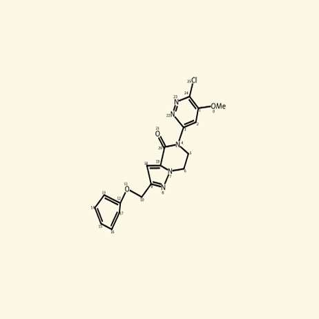 COc1cc(N2CCn3nc(COc4ccccc4)cc3C2=O)nnc1Cl